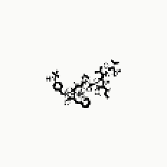 CC[C@H](C)[C@@H]([C@@H](CC(=O)N1CCC[C@H]1[C@H](OC)[C@@H](C)C(=O)NC(Cc1ccccn1)C(=O)NCc1ccc(NC(C)(C)C)cc1)OC)N(C)C(=O)[C@@H](NC(=O)[C@H](C(C)C)N(C)C)C(C)C